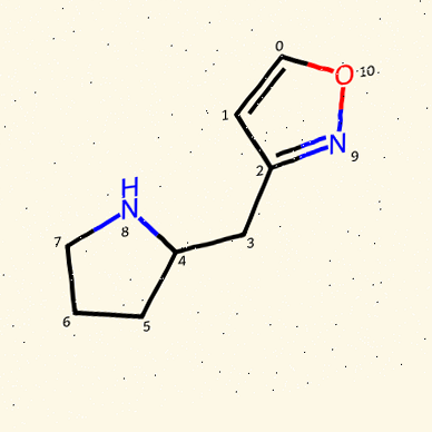 c1cc(CC2CCCN2)no1